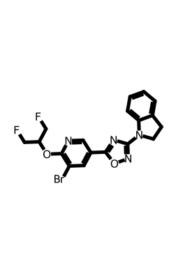 FCC(CF)Oc1ncc(-c2nc(N3CCc4ccccc43)no2)cc1Br